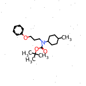 CC1CCC(N(CCCOc2ccccc2)C(=O)OC(C)(C)C)CC1